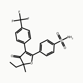 CCC1(C)OC(c2ccc(S(N)(=O)=O)cc2)=C(c2ccc(C(F)(F)F)cc2)C1=O